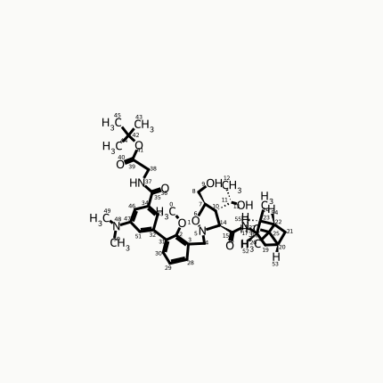 COc1c(CN2O[C@@H](CO)[C@H]([C@H](C)O)[C@H]2C(=O)N[C@H]2C[C@H]3C[C@@H]([C@@H]2C)C3(C)C)cccc1-c1cc(C(=O)NCC(=O)OC(C)(C)C)cc(N(C)C)c1